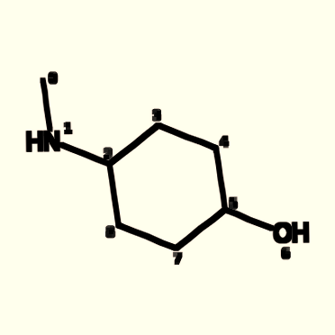 CNC1CCC(O)CC1